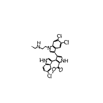 CCNCCn1cc(-c2c[nH]c(C(=O)OC)c2-c2c[nH]c3ccc(Cl)cc23)c2cc(Cl)c(Cl)cc21